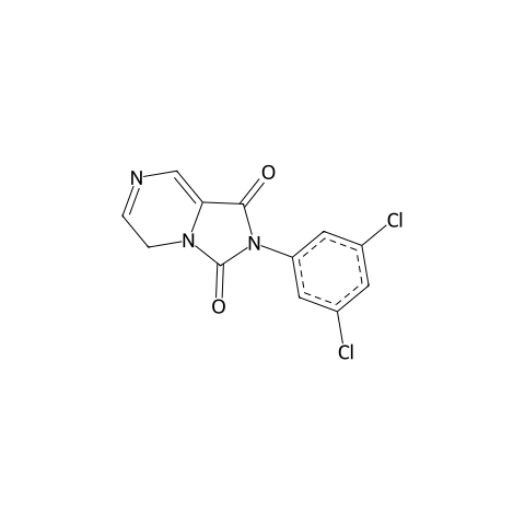 O=C1C2=CN=CCN2C(=O)N1c1cc(Cl)cc(Cl)c1